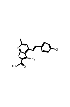 Cc1cc(C=Cc2ccc(Cl)cc2)c2c(N)c(C(N)=O)sc2n1